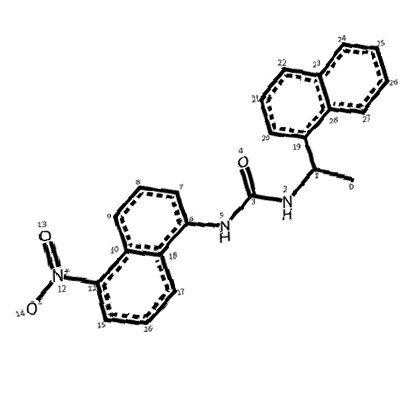 CC(NC(=O)Nc1cccc2c([N+](=O)[O-])cccc12)c1cccc2ccccc12